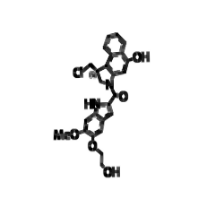 COc1cc2[nH]c(C(=O)N3C[C@@H](CCl)c4c3cc(O)c3ccccc43)cc2cc1OCCO